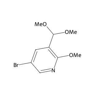 COc1ncc(Br)cc1C(OC)OC